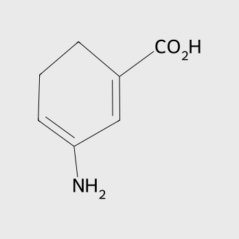 NC1=CCCC(C(=O)O)=C1